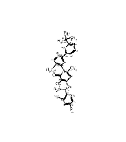 B[C@@H](Oc1cc(C)n(-c2cc(-c3ccnc(C(C)(C)O)n3)ncc2C)c(=O)c1Cl)c1ncc(F)cc1F